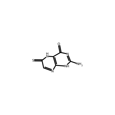 Nc1nc(=O)c2[nH]c(=S)cnc2[nH]1